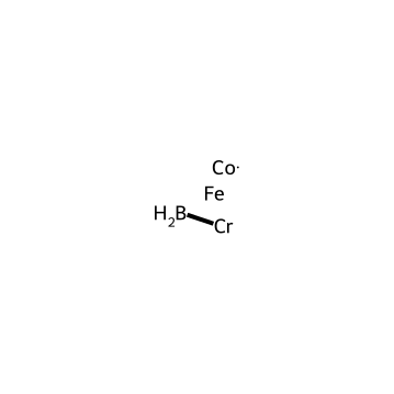 [BH2][Cr].[Co].[Fe]